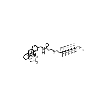 CC12CCC(C(=Cc3ccc(CNC(=O)CCSCCC(F)(F)C(F)(F)C(F)(F)C(F)(F)C(F)(F)C(F)(F)F)cc3)C1=O)C2(C)C